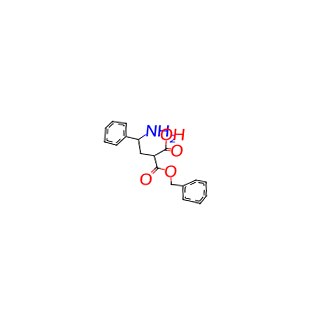 NC(CC(C(=O)O)C(=O)OCc1ccccc1)c1ccccc1